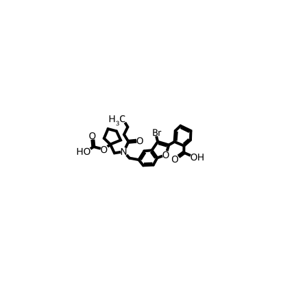 CCCC(=O)N(Cc1ccc2oc(-c3ccccc3C(=O)O)c(Br)c2c1)CC1(OC(=O)O)CCCC1